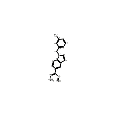 N=N/C(=N\N)c1ccc2c(ccn2Cc2cccc(Cl)c2)c1